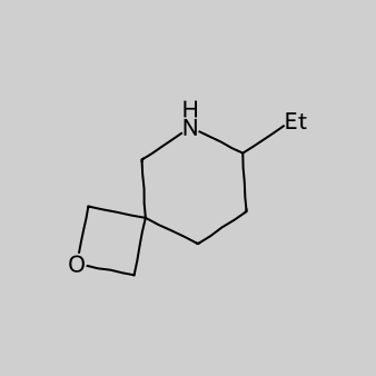 CCC1CCC2(CN1)COC2